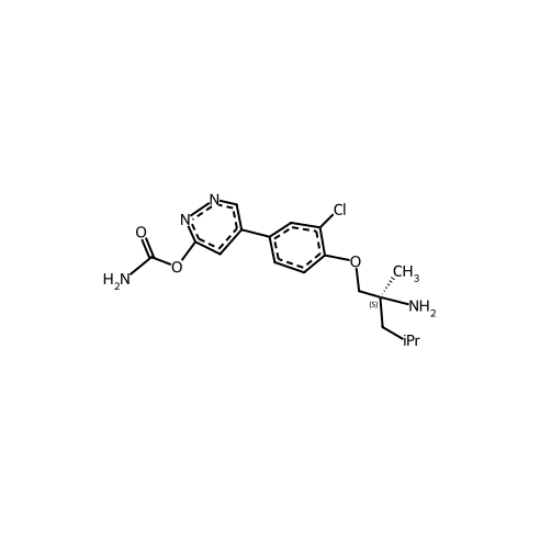 CC(C)C[C@](C)(N)COc1ccc(-c2cnnc(OC(N)=O)c2)cc1Cl